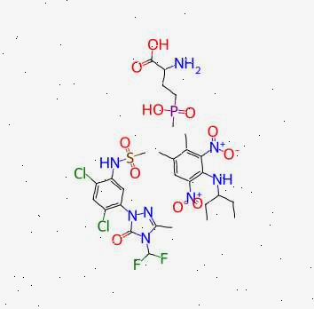 CCC(CC)Nc1c([N+](=O)[O-])cc(C)c(C)c1[N+](=O)[O-].CP(=O)(O)CCC(N)C(=O)O.Cc1nn(-c2cc(NS(C)(=O)=O)c(Cl)cc2Cl)c(=O)n1C(F)F